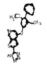 Cc1cc(Oc2cncc3sc(-c4nnn[nH]4)cc23)cc(C)c1-c1ccccc1